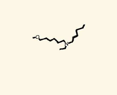 CCCCCCN(CC)CCCCCCOC